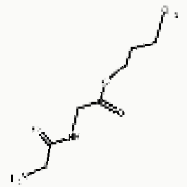 CCCCOC(=O)CNC(=O)CN